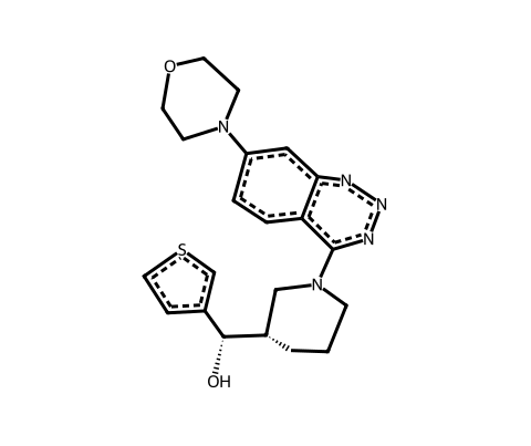 O[C@H](c1ccsc1)[C@H]1CCCN(c2nnnc3cc(N4CCOCC4)ccc23)C1